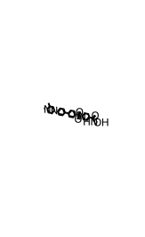 CC1CN(c2ccc(-c3ccc(S(=O)(=O)N4CC=C(C(=O)NO)CC4)cc3)cc2)CCN1C